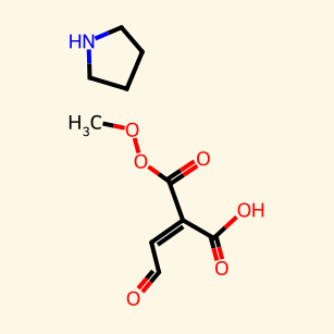 C1CCNC1.COOC(=O)/C(=C/C=O)C(=O)O